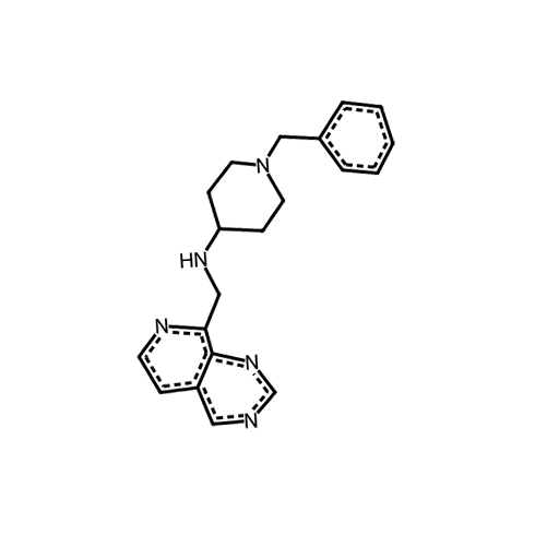 c1ccc(CN2CCC(NCc3nccc4cncnc34)CC2)cc1